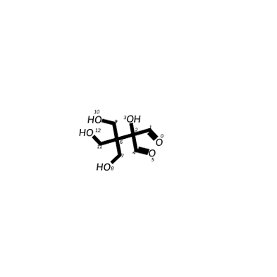 O=CC(O)(C=O)C(CO)(CO)CO